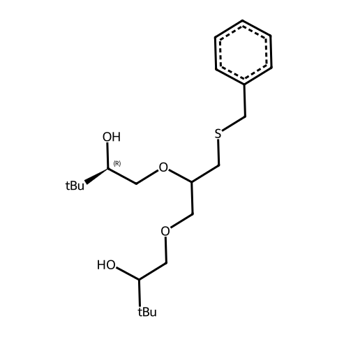 CC(C)(C)C(O)COCC(CSCc1ccccc1)OC[C@H](O)C(C)(C)C